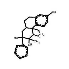 CCC12c3ccc(O)cc3CCC1CC(O)(c1ccccc1)C(C)(O)C2Cl